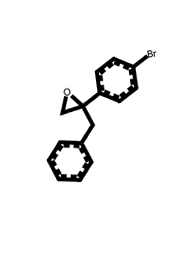 Brc1ccc(C2(Cc3ccccc3)CO2)cc1